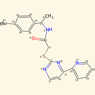 CC(NC(=O)CSc1nccc(-c2ccccn2)n1)c1ccc(C(C)(C)C)cc1